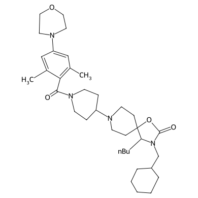 CCCCC1N(CC2CCCCC2)C(=O)OC12CCN(C1CCN(C(=O)c3c(C)cc(N4CCOCC4)cc3C)CC1)CC2